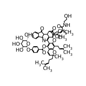 CC(C)=CCCC1(C)C=Cc2c(c(CC=C(C)C)c3c(c2OC(=O)c2ccc(O[C@H]4O[C@@H](CO)[C@H](O)[C@@H](O)[C@@H]4O)cc2)C2=C4C(C5CC(C(C)C)C4(O3)C(O)(C/C=C(/C)C(=O)NCCO)C5=O)C3C(=O)c4ccccc4C3=N2)O1